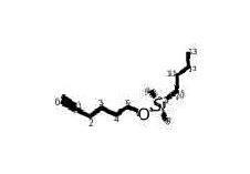 C#CCCCCO[Si](C)(C)CCCC